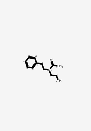 CC(=O)N(CCS)CCc1ccccc1